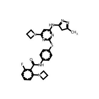 CC1=NN=C(Nc2cc(N3CCC3)nc(Sc3ccc(NC(=O)c4c(F)cccc4N4CCC4)cc3)n2)C1